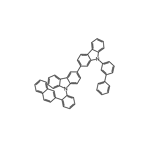 c1ccc(-c2cccc(-n3c4ccccc4c4ccc(-c5ccc6c(c5)c5ccccc5n6-c5ccccc5-c5ccc6ccccc6c5)cc43)c2)cc1